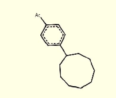 CC(=O)c1ccc(C2CCCCCCCC2)cc1